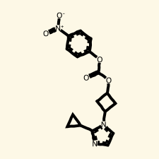 O=C(Oc1ccc([N+](=O)[O-])cc1)OC1CC(n2ccnc2C2CC2)C1